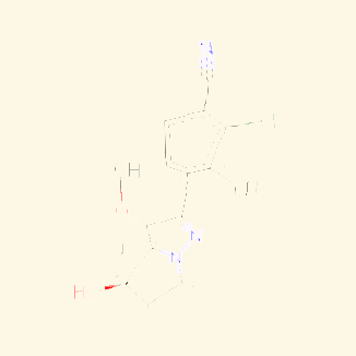 CO[C@@H]1C(c2ccc(C#N)c(Cl)c2C)=NN2CC[C@@H](O)[C@@H]12